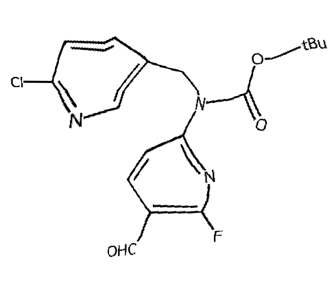 CC(C)(C)OC(=O)N(Cc1ccc(Cl)nc1)c1ccc(C=O)c(F)n1